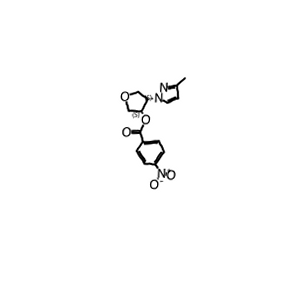 Cc1ccn([C@H]2COC[C@H]2OC(=O)c2ccc([N+](=O)[O-])cc2)n1